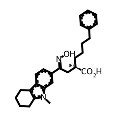 Cn1c2c(c3ccc(C(C[C@@H](CCCCc4ccccc4)C(=O)O)=NO)cc31)CCCC2